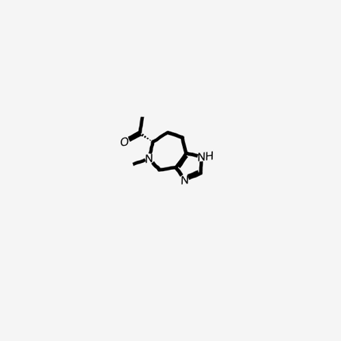 CC(=O)[C@@H]1CCc2[nH]cnc2CN1C